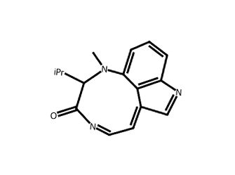 CC(C)C1C(=O)/N=C\C=C2\C=Nc3cccc(c32)N1C